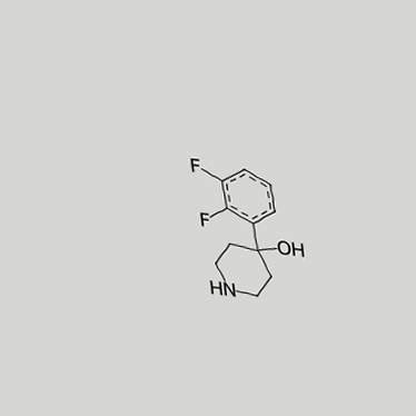 OC1(c2cccc(F)c2F)CCNCC1